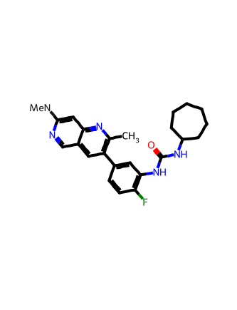 CNc1cc2nc(C)c(-c3ccc(F)c(NC(=O)NC4CCCCCC4)c3)cc2cn1